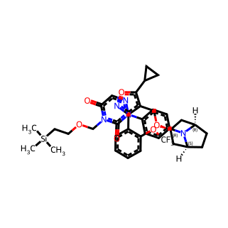 C[Si](C)(C)CCOCn1c(=O)cnn(-c2ccc(N3[C@@H]4CC[C@H]3C[C@@H](OCc3c(-c5ccccc5OC(F)(F)F)noc3C3CC3)C4)cc2)c1=O